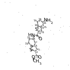 COC(=O)c1cc2cc(NC(=O)c3cc4cc(N)ccc4s3)ccc2s1